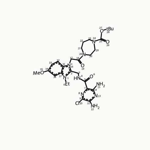 CCn1c(CNC(=O)c2nc(Cl)c(N)nc2N)[n+](CC(=O)N2CCCN(C(=O)OC(C)(C)C)CC2)c2ccc(OC)cc21